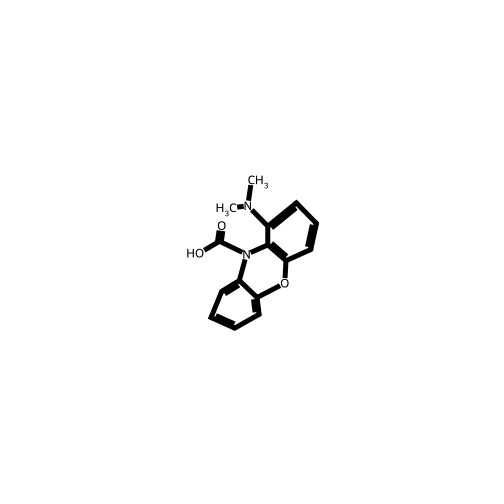 CN(C)c1cccc2c1N(C(=O)O)c1ccccc1O2